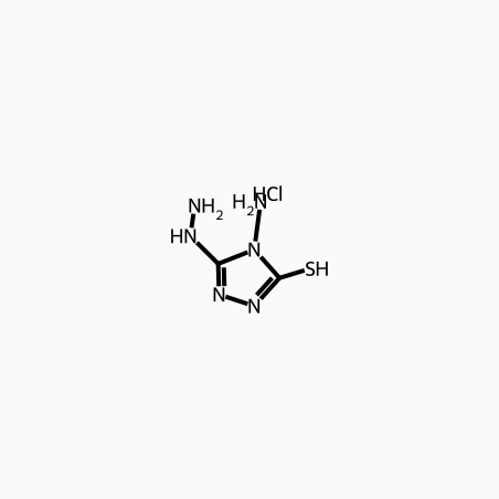 Cl.NNc1nnc(S)n1N